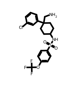 NCC1(c2cccc(Cl)c2)CCC(NS(=O)(=O)c2ccc(OC(F)(F)F)cc2)CC1